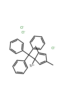 CC1=C[C]([Ti+3])(C(c2ccccc2)(c2ccccc2)c2ccccc2)C(C)=C1.[Cl-].[Cl-].[Cl-]